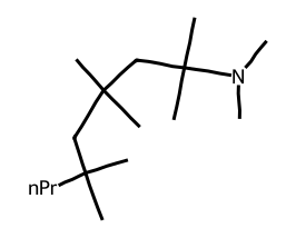 CCCC(C)(C)CC(C)(C)CC(C)(C)N(C)C